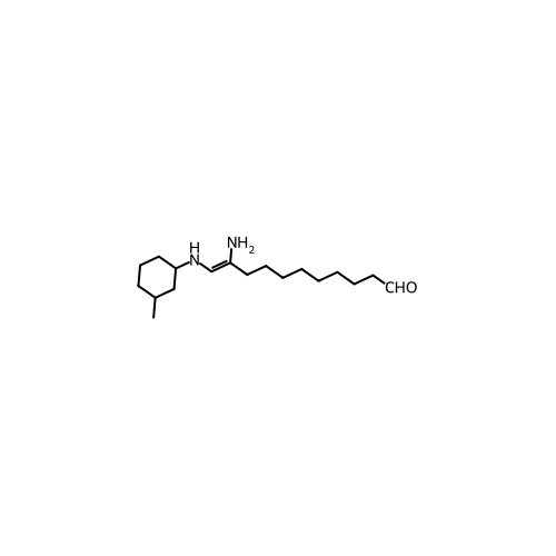 CC1CCCC(N/C=C(\N)CCCCCCCCC=O)C1